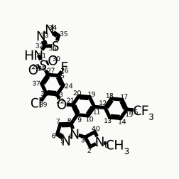 CN1CC(n2nccc2-c2cc(-c3ccc(C(F)(F)F)cc3)ccc2Oc2cc(F)c(S(=O)(=O)Nc3nncs3)cc2Cl)C1